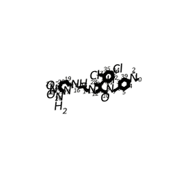 CN(C)c1ccc(CNC(=O)c2cn(CCCNc3ccc([N+](=O)[O-])c(N)n3)cc2-c2ccc(Cl)cc2Cl)cc1